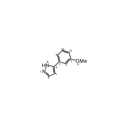 COc1[c]c(-c2ccn[nH]2)ccc1